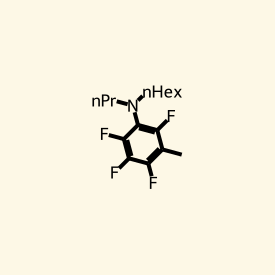 CCCCCCN(CCC)c1c(F)c(C)c(F)c(F)c1F